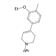 CCCN1CC=C(c2ccc(C)c(OCC)c2)CC1